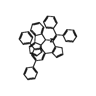 C1=CC(c2cc(-c3ccccc3)cc(-c3ccccc3)c2)=[C]([Zr](=[C](c2ccccc2)c2ccccc2)[CH]2c3ccccc3-c3ccccc32)C1